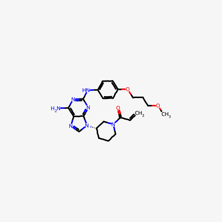 C=CC(=O)N1CCC[C@H](n2cnc3c(N)nc(Nc4ccc(OCCCOC)cc4)nc32)C1